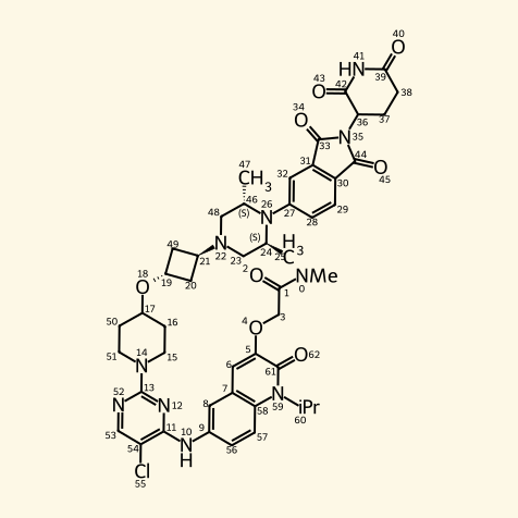 CNC(=O)COc1cc2cc(Nc3nc(N4CCC(O[C@H]5C[C@H](N6C[C@H](C)N(c7ccc8c(c7)C(=O)N(C7CCC(=O)NC7=O)C8=O)[C@@H](C)C6)C5)CC4)ncc3Cl)ccc2n(C(C)C)c1=O